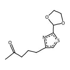 CC(=O)CCCc1csc(C2OCCO2)n1